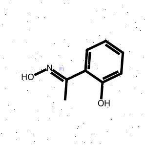 C/C(=N\O)c1c[c]ccc1O